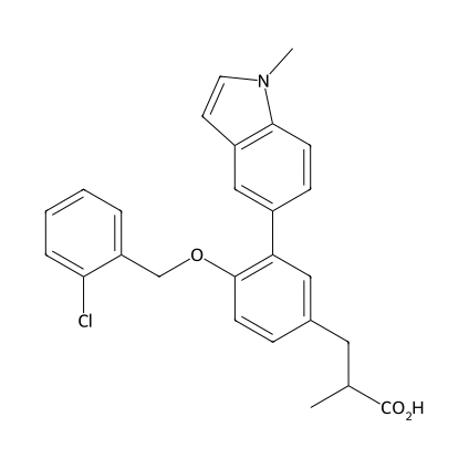 CC(Cc1ccc(OCc2ccccc2Cl)c(-c2ccc3c(ccn3C)c2)c1)C(=O)O